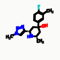 Cc1cc([C@@]2(O)C[C@@H](c3cn(C)nn3)N[C@@H](C)C2)ccc1F